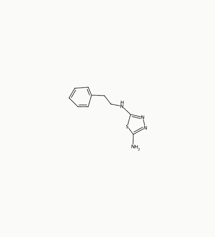 Nc1nnc(NCCc2ccccc2)s1